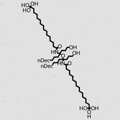 CCCCCCCCCCCCCC(CCCO)(NC(=O)CCCCCCCCCCCCCCC(O)(O)O)OC(CCCO)(CCCCCCCCCCCCC)NC(=O)CCCCCCCCCCCCCCC(O)(O)O